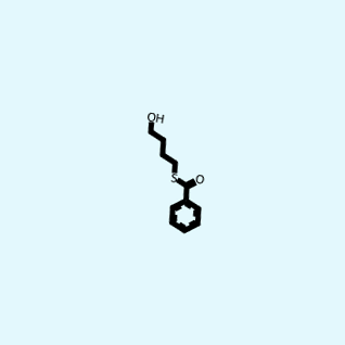 O=C(SCCCCO)c1ccccc1